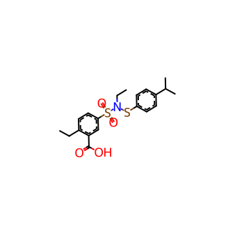 CCc1ccc(S(=O)(=O)N(CC)Sc2ccc(C(C)C)cc2)cc1C(=O)O